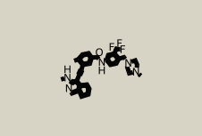 CNc1ncc2ccccc2c1C#Cc1cc(C(=O)Nc2ccc(CN3CCN(C)CC3)c(C(F)(F)F)c2)ccc1C